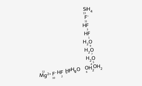 F.F.F.F.O.O.O.O.O.O.[F-].[F-].[Mg+2].[SiH4]